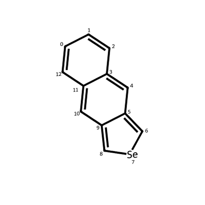 c1ccc2cc3c[se]cc3cc2c1